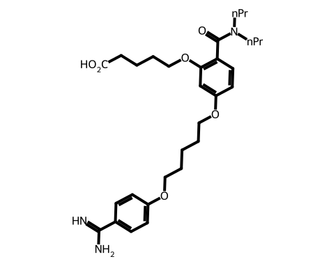 CCCN(CCC)C(=O)c1ccc(OCCCCCOc2ccc(C(=N)N)cc2)cc1OCCCCC(=O)O